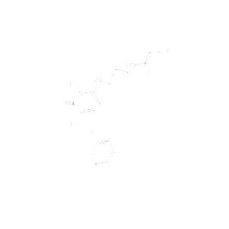 CC(=O)OCC(=O)NCCCNc1nc(OCc2ccc(F)cc2F)c(Br)c(=O)n1C(C)C